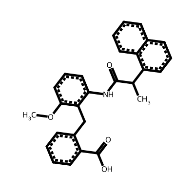 COc1cccc(NC(=O)C(C)c2cccc3ccccc23)c1Cc1ccccc1C(=O)O